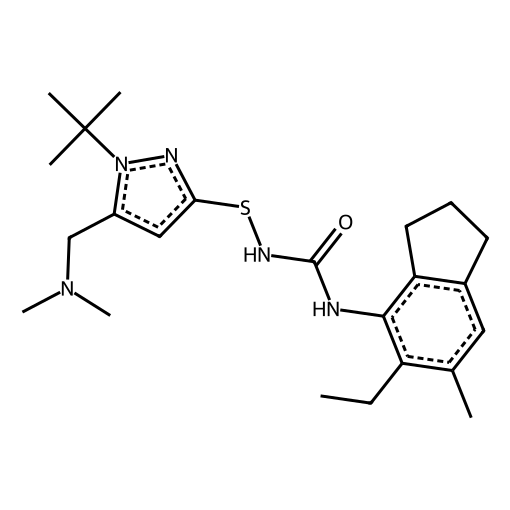 CCc1c(C)cc2c(c1NC(=O)NSc1cc(CN(C)C)n(C(C)(C)C)n1)CCC2